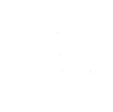 CCOC(=O)C1=CCCN1c1c(F)c(F)nc(Oc2cc(C#N)ccc2OCc2ccccc2)c1F